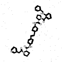 O=C(Nc1ccc(/C=C/c2ccc(NC(=O)[C@@H]3CCCN3C(=O)c3ccccc3NCc3ccccc3)cc2)cc1)[C@@H]1CCCN1C(=O)Cc1cccnc1